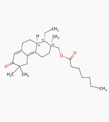 CCCCCCC(=O)OC[C@@]1(C)CCC2=C3CC(C)(C)C(=O)C=C3CC[C@H]2[C@@H]1CC